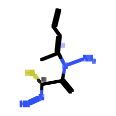 C=C/C=C(\C)N(N)C(=C)[C@@H](S)N=N